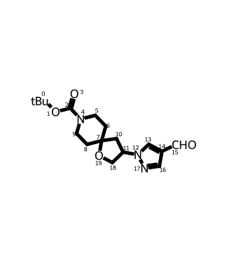 CC(C)(C)OC(=O)N1CCC2(CC1)CC(n1cc(C=O)cn1)CO2